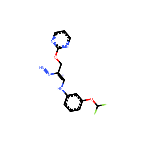 N=N/C(=C\Nc1cccc(OC(F)F)c1)COc1ncccn1